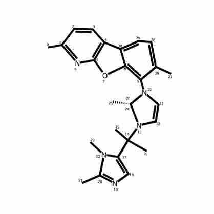 Cc1ccc2c(n1)oc1c(N3C=CN(C(C)(C)c4cnc(C)n4C)[C@@H]3C)c(C)ccc12